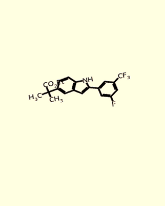 CCOC(=O)C(C)(C)c1ccc2[nH]c(-c3cc(F)cc(C(F)(F)F)c3)cc2c1